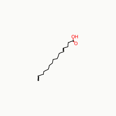 C=CCCCCCCCCC=CCCC(=O)O